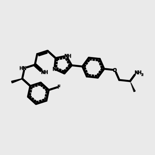 C[C@@H](N)COc1ccc(-c2cnc(/C=C\C(=N)N[C@H](C)c3cccc(F)c3)[nH]2)cc1